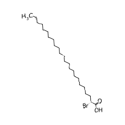 CCCCCCCCCCCCCCCCCCCCCC[C@@H](Br)C(=O)O